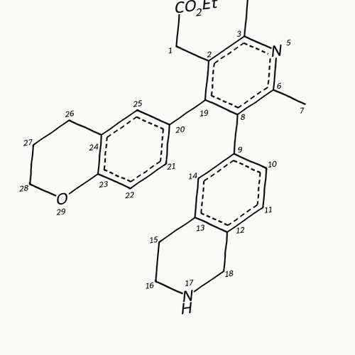 CCOC(=O)Cc1c(C)nc(C)c(-c2ccc3c(c2)CCNC3)c1-c1ccc2c(c1)CCCO2